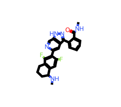 CNC(=O)c1ccccc1-c1n[nH]c2cnc(-c3c(F)cc4c(c3F)CCCC4NC)cc12